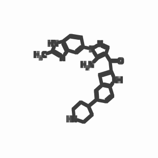 Cc1nc2cc(-n3ncc(C(=O)c4cc5cc(C6CCNCC6)ccc5[nH]4)c3N)ccc2[nH]1